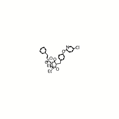 CCN(CC)C(=O)C(Cc1ccc(Oc2ccc(Cl)cn2)cc1)C(=O)NS(=O)(=O)C=Cc1ccccc1